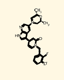 C[C@H]1CN(c2cnc3[nH]cc(-c4ccn(Cc5cccc(Cl)c5F)c(=O)c4)c3c2)C[C@H](C)O1